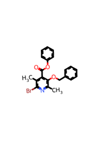 Cc1nc(Br)c(C)c(C(=O)Oc2ccccc2)c1OCc1ccccc1